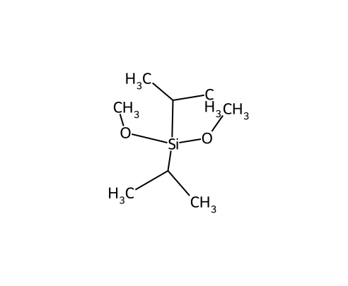 CO[Si](OC)(C(C)C)C(C)C